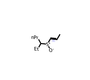 C/C=C/[S+]([O-])C(CC)CCC